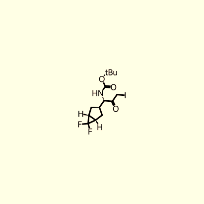 CC(C)(C)OC(=O)N[C@H](C(=O)CI)[C@@H]1C[C@@H]2[C@H](C1)C2(F)F